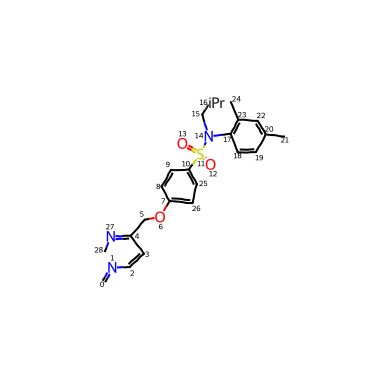 C=N/C=C\C(COc1ccc(S(=O)(=O)N(CC(C)C)c2ccc(C)cc2C)cc1)=N/C